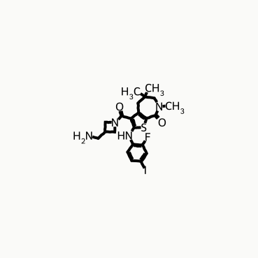 CN1CC(C)(C)Cc2c(sc(Nc3ccc(I)cc3F)c2C(=O)N2CC(CN)C2)C1=O